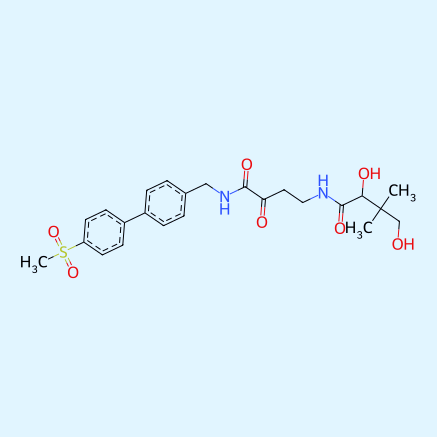 CC(C)(CO)C(O)C(=O)NCCC(=O)C(=O)NCc1ccc(-c2ccc(S(C)(=O)=O)cc2)cc1